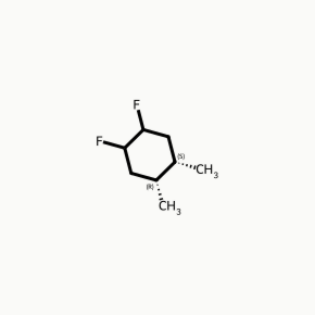 C[C@@H]1CC(F)C(F)C[C@@H]1C